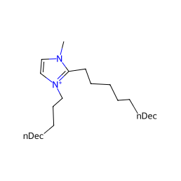 CCCCCCCCCCCCCCCc1n(C)cc[n+]1CCCCCCCCCCCCC